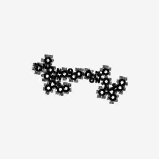 c1ccc(-c2nc3c(nc2-c2cccc(-n4c5ccccc5c5c6ccccc6c6c7ccc8ccccc8c7sc6c54)c2)oc2cc(-c4ccc5c(ccc6c7cc8nc(-n9c%10ccccc%10c%10c%11ccccc%11c%11c%12ccc%13ccccc%13c%12sc%11c%109)c(-c9ccc%10c(c9)c9ccccc9n%10-c9cccnc9)nc8cc7oc56)c4)ccc23)cc1